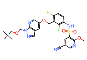 COc1ncc(C#N)cc1S(=O)(=O)Nc1ccc(F)c(COc2cnc3c(cnn3COC[Si](C)(C)C)c2)c1F